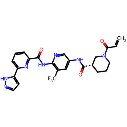 C=CC(=O)N1CCC[C@H](C(=O)Nc2cnc(NC(=O)c3cccc(-c4ccn[nH]4)n3)c(C(F)(F)F)c2)C1